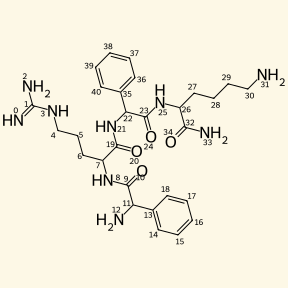 N=C(N)NCCCC(NC(=O)C(N)c1ccccc1)C(=O)NC(C(=O)NC(CCCCN)C(N)=O)c1ccccc1